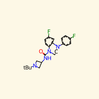 CC(C)(C)N1CC(NC(=O)N2CCN(c3ccc(F)cc3)c3cc(F)ccc32)C1